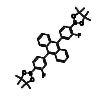 CC1(C)OB(c2ccc(-c3c4ccccc4c(-c4ccc(B5OC(C)(C)C(C)(C)O5)c(F)c4)c4ccccc34)cc2F)OC1(C)C